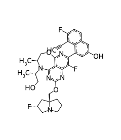 C#Cc1c(F)ccc2cc(O)cc(-c3nc4c5c(nc(OC[C@@]67CCCN6C[C@H](F)C7)nc5c3F)N([C@@H](C)CO)[C@@H](C)CO4)c12